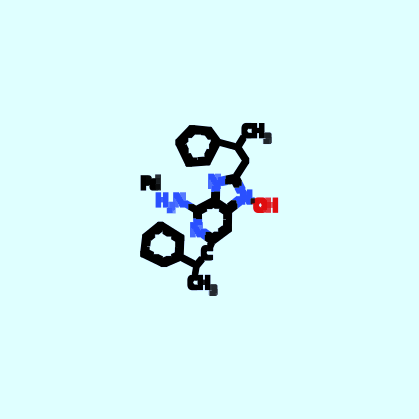 CC(Cc1cc2c(nc(CC(C)c3ccccc3)n2O)c(N)n1)c1ccccc1.[Pd]